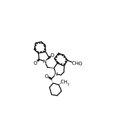 C[C@@H]1CCCC[C@@H]1C(=O)N1CCc2c(C=O)cccc2[C@@H]1CN1C(=O)c2ccccc2C1=O